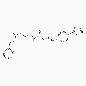 CN(CCCNC(=O)C/C=C/c1ccc(-n2ccnc2)cc1)CCc1ccccc1